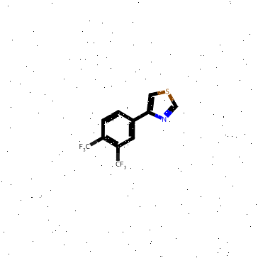 FC(F)(F)c1ccc(-c2cs[c]n2)cc1C(F)(F)F